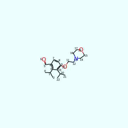 CC(C)c1c(C=O)ccc(OCCN2CCOCC2)c1C(C)C